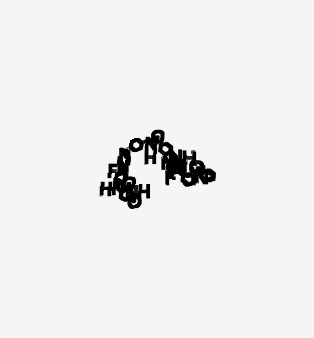 O=C1CCC(Nc2ccc(N3CCN(C[C@H]4CC[C@H](CNC(=O)[C@H]5CC[C@H](Nc6ncc(F)c(-c7cccc(-n8ccccc8=O)c7)n6)CC5)CC4)CC3)c(F)c2)C(=O)N1